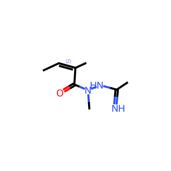 C/C=C(/C)C(=O)N(C)NC(C)=N